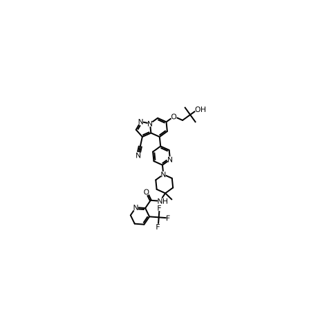 CC(C)(O)COc1cc(-c2ccc(N3CCC(C)(NC(=O)C4=NCCC=C4C(F)(F)F)CC3)nc2)c2c(C#N)cnn2c1